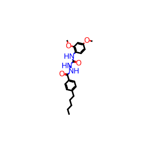 CCCCCc1ccc(C(=O)NNC(=O)Nc2ccc(OC)cc2OC)cc1